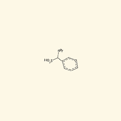 CCCC(c1ccccc1)S(=O)(=O)O